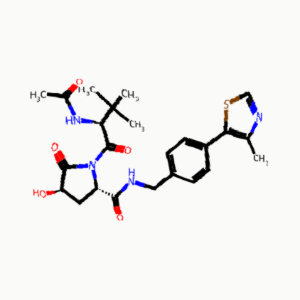 CC(=O)N[C@H](C(=O)N1C(=O)[C@H](O)C[C@H]1C(=O)NCc1ccc(-c2scnc2C)cc1)C(C)(C)C